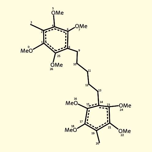 COc1c(C)c(OC)c(OC)c(CCCCCc2c(OC)c(OC)c(C)c(OC)c2OC)c1OC